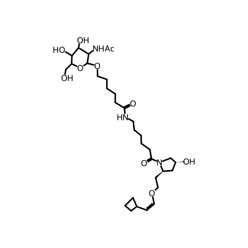 CC(=O)NC1C(OCCCCCC(=O)NCCCCCC(=O)N2C[C@H](O)C[C@H]2CCO/C=C\C2CCC2)OC(CO)C(O)C1O